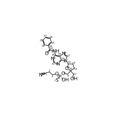 N#CCCOP(O)(=S)OCC1(CO)CC[C@H](n2cnc3c(NC(=O)c4ccccc4)ncnc32)O1